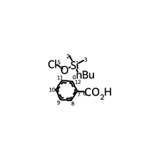 CCCC[Si](C)(C)OCl.O=C(O)c1ccccc1